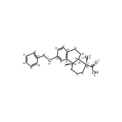 C[C@@]1(C(=O)O)CCC[C@]2(C)c3cc(OCc4ccccc4)ccc3CC[C@@H]12